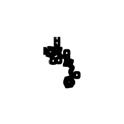 COc1cncc2[nH]cc(C(=O)C(=O)N3CC(CCC(=O)c4ccccc4)C3)c12